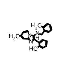 Cc1ccn2c(NCc3ccccc3C)c(-c3ccccc3O)nc2c1